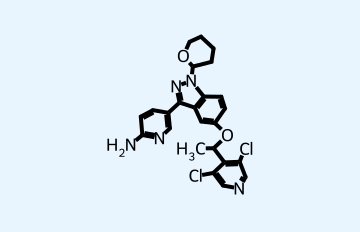 CC(Oc1ccc2c(c1)c(-c1ccc(N)nc1)nn2C1CCCCO1)c1c(Cl)cncc1Cl